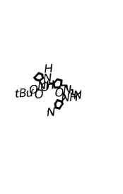 CN(C)CCN(Cc1ccc(C(=O)Nc2ccccc2NC(=O)OC(C)(C)C)cc1)C(=O)Nc1ccc(N(C)C)cc1